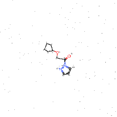 O=C(COC1CCCC1)n1cccn1